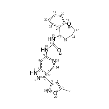 Cc1cc(-c2n[nH]c3cc(NC(=O)NC4CCCOc5ccccc54)ncc23)no1